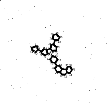 c1ccc(-c2ccc3c(c2)c2cc(-c4ccccc4)ccc2n3-c2ccc(-c3ccc4ccc5ccccc5c4c3)cc2)cc1